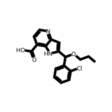 CCCOC(c1cc2nccc(C(=O)O)c2[nH]1)c1ccccc1Cl